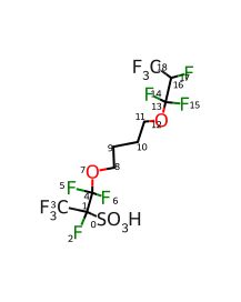 O=S(=O)(O)C(F)(C(F)(F)F)C(F)(F)OCCCCOC(F)(F)C(F)C(F)(F)F